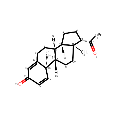 CCCC(=O)[C@H]1CC[C@H]2[C@@H]3CCC4=CC(=O)C=C[C@]4(C)[C@H]3CC[C@]12C